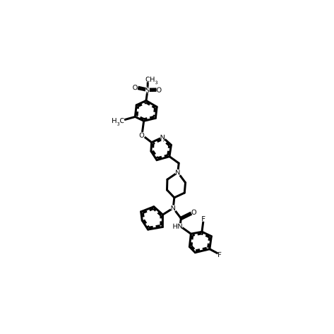 Cc1cc(S(C)(=O)=O)ccc1Oc1ccc(CN2CCC(N(C(=O)Nc3ccc(F)cc3F)c3ccccc3)CC2)cn1